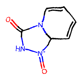 O=C1N[N+](=O)C2C=CC=CN12